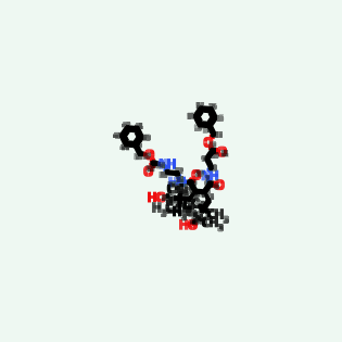 CC(C)(C[C@H](C(=O)NCCC(=O)OCc1ccccc1)[C@@H](CC(C)(C)[Si](C)(C)O)C(=O)NCCNC(=O)OCc1ccccc1)[Si](C)(C)O